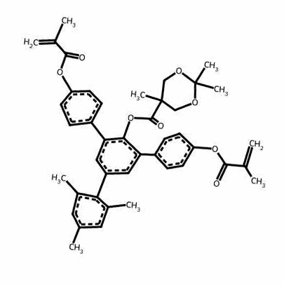 C=C(C)C(=O)Oc1ccc(-c2cc(-c3c(C)cc(C)cc3C)cc(-c3ccc(OC(=O)C(=C)C)cc3)c2OC(=O)C2(C)COC(C)(C)OC2)cc1